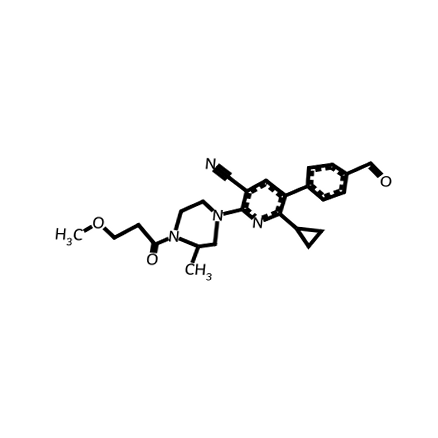 COCCC(=O)N1CCN(c2nc(C3CC3)c(-c3ccc(C=O)cc3)cc2C#N)CC1C